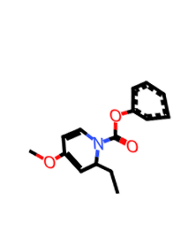 CCC1C=C(OC)C=CN1C(=O)Oc1ccccc1